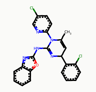 CC1=CC(c2ccccc2Cl)N=C(Nc2nc3ccccc3o2)N1c1ccc(Cl)cn1